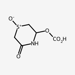 O=C1C[S+]([O-])CC(OC(=O)O)N1